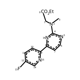 CCOC(=O)CN(C)c1nccc(-c2ccc(F)cn2)n1